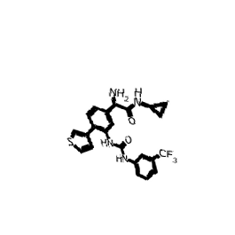 NC(C(=O)NC1CC1)c1ccc(-c2ccsc2)c(NC(=O)Nc2cccc(C(F)(F)F)c2)c1